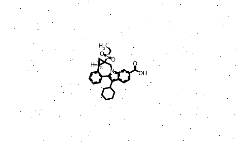 CCS(=O)(=O)C12C[C@H]1c1ccccc1-c1c(C3CCCCC3)c3ccc(C(=O)O)cc3n1C2